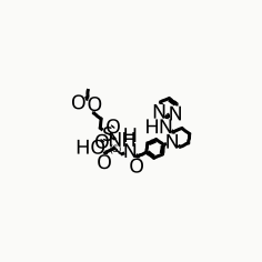 CC(=O)OCCCS(=O)(=O)N[C@@H](CNC(=O)c1ccc(N2CCCCC2Nc2ncccn2)cc1)C(=O)O